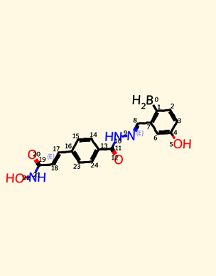 Bc1ccc(O)cc1/C=N/NC(=O)c1ccc(/C=C/C(=O)NO)cc1